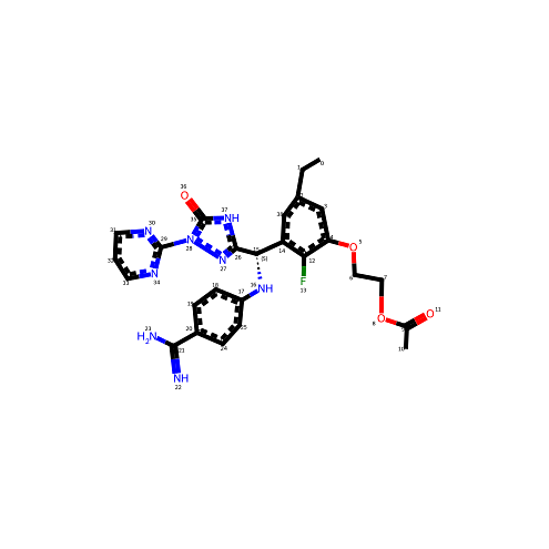 CCc1cc(OCCOC(C)=O)c(F)c([C@H](Nc2ccc(C(=N)N)cc2)c2nn(-c3ncccn3)c(=O)[nH]2)c1